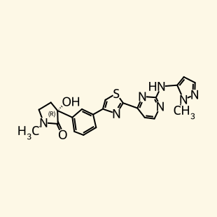 CN1CC[C@@](O)(c2cccc(-c3csc(-c4ccnc(Nc5ccnn5C)n4)n3)c2)C1=O